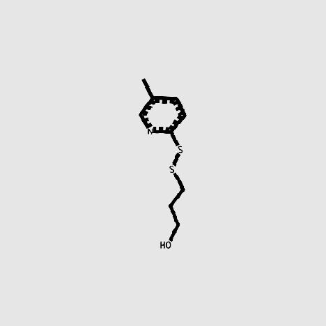 Cc1ccc(SSCCCO)nc1